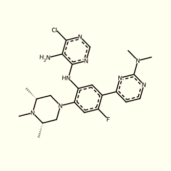 C[C@@H]1CN(c2cc(F)c(-c3ccnc(N(C)C)n3)cc2Nc2ncnc(Cl)c2N)C[C@H](C)N1C